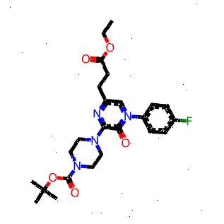 CCOC(=O)CCc1cn(-c2ccc(F)cc2)c(=O)c(N2CCN(C(=O)OC(C)(C)C)CC2)n1